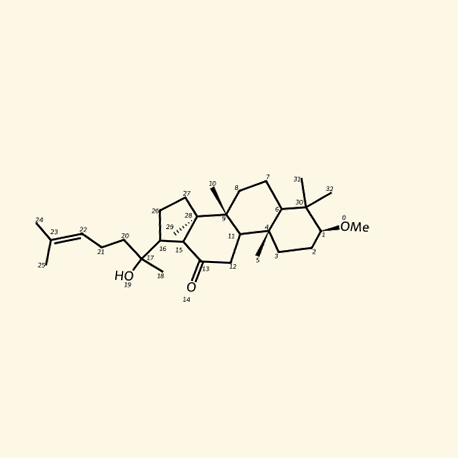 CO[C@H]1CC[C@@]2(C)C(CC[C@]3(C)C2CC(=O)C2C(C(C)(O)CCC=C(C)C)CC[C@]23C)C1(C)C